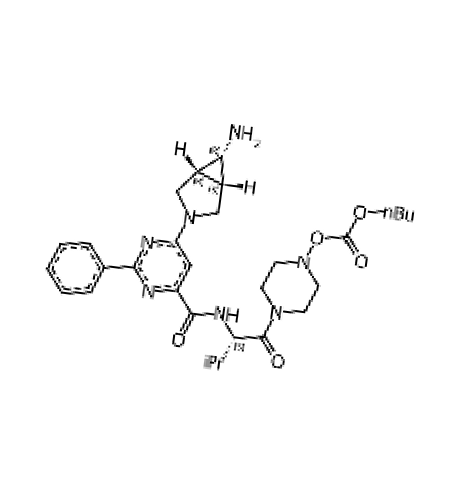 CCCCOC(=O)ON1CCN(C(=O)[C@@H](NC(=O)c2cc(N3C[C@@H]4[C@H](N)[C@@H]4C3)nc(-c3ccccc3)n2)C(C)C)CC1